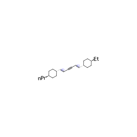 CCC[C@H]1CC[C@H](/C=C/C#C/C=C/[C@H]2CC[C@H](CC)CC2)CC1